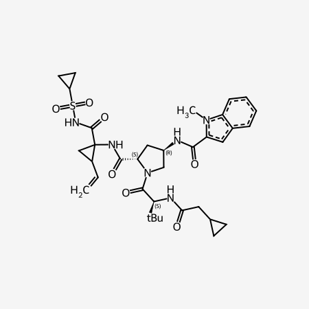 C=CC1CC1(NC(=O)[C@@H]1C[C@@H](NC(=O)c2cc3ccccc3n2C)CN1C(=O)[C@@H](NC(=O)CC1CC1)C(C)(C)C)C(=O)NS(=O)(=O)C1CC1